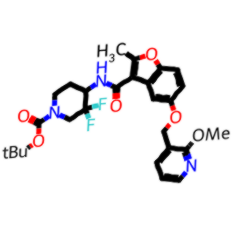 COc1ncccc1COc1ccc2oc(C)c(C(=O)NC3CCN(C(=O)OC(C)(C)C)CC3(F)F)c2c1